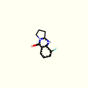 O=c1c2cccc(F)c2nc2n1CCC2